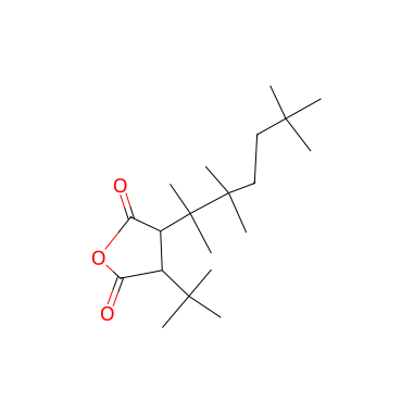 CC(C)(C)CCC(C)(C)C(C)(C)C1C(=O)OC(=O)C1C(C)(C)C